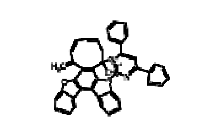 C=C1/C=C\C=C/CC(C)(C)c2c1c1oc3ccccc3c1c1c3ccccc3n(-c3nc(-c4ccccc4)cc(-c4ccccc4)n3)c21